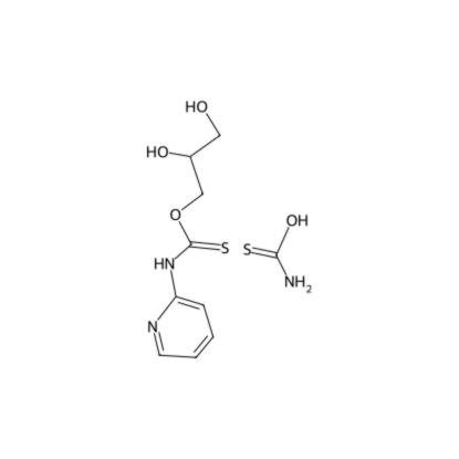 NC(O)=S.OCC(O)COC(=S)Nc1ccccn1